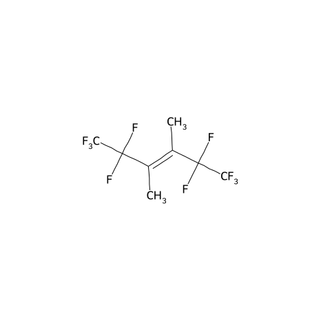 CC(=C(C)C(F)(F)C(F)(F)F)C(F)(F)C(F)(F)F